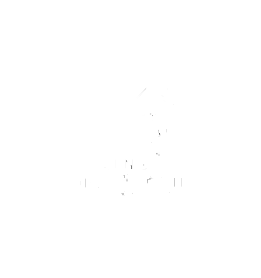 CC(C)(C)OC(=O)N[C@H](CCOc1ccccc1)C(=O)O